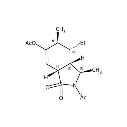 CC[C@@H]1[C@@H]2[C@@H](C)N(C(C)=O)S(=O)(=O)[C@@H]2C=C(OC(C)=O)[C@H]1C